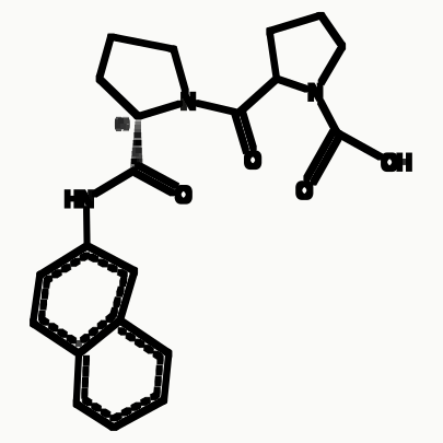 O=C(Nc1ccc2ccccc2c1)[C@@H]1CCCN1C(=O)C1CCCN1C(=O)O